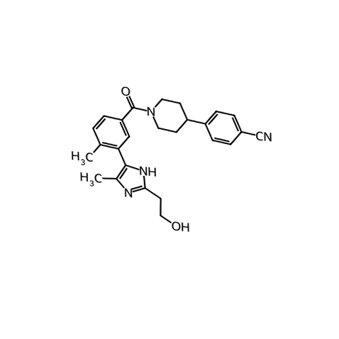 Cc1ccc(C(=O)N2CCC(c3ccc(C#N)cc3)CC2)cc1-c1[nH]c(CCO)nc1C